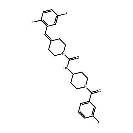 O=C(NC1CCN(C(=O)c2cccc(F)c2)CC1)N1CCC(=Cc2cc(F)ccc2F)CC1